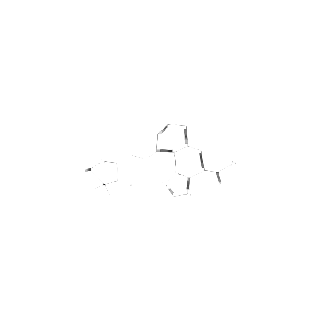 CC[C@H]1[C@@H](COc2cccc3cc(C(N)=O)c4ncnn4c23)NC(=O)C1(F)F